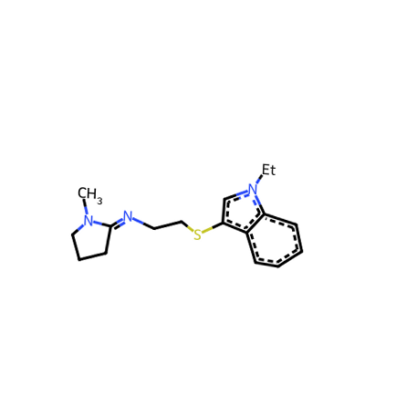 CCn1cc(SCC/N=C2\CCCN2C)c2ccccc21